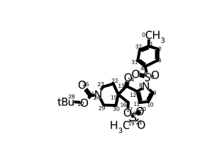 Cc1ccc(S(=O)(=O)n2cccc2C(=O)C2(COS(C)(=O)=O)CCN(C(=O)OC(C)(C)C)CC2)cc1